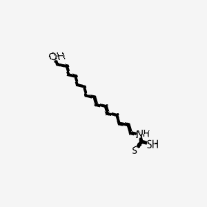 OCCCCCCCCCCCCCCCNC(=S)S